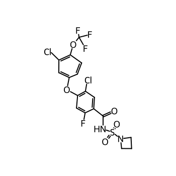 O=C(NS(=O)(=O)N1CCC1)c1cc(Cl)c(Oc2ccc(OC(F)(F)F)c(Cl)c2)cc1F